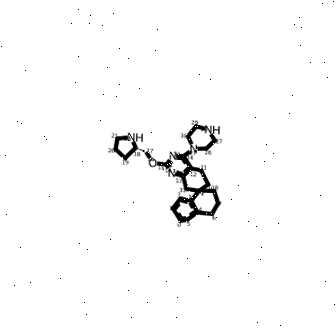 c1ccc2c(c1)CCCC21CCc2c(nc(OC[C@@H]3CCCN3)nc2N2CCNCC2)C1